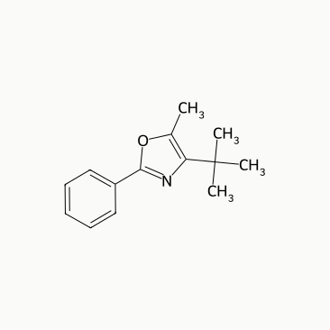 Cc1oc(-c2ccccc2)nc1C(C)(C)C